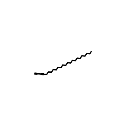 C#CC#CCCCCCCCCCCCCCCCCCCCC